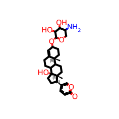 C[C@]12CCC(OC3OCC(N)C(O)C3O)C=C1CCC1C2CC[C@]2(C)[C@@H](c3ccc(=O)oc3)CC[C@]12O